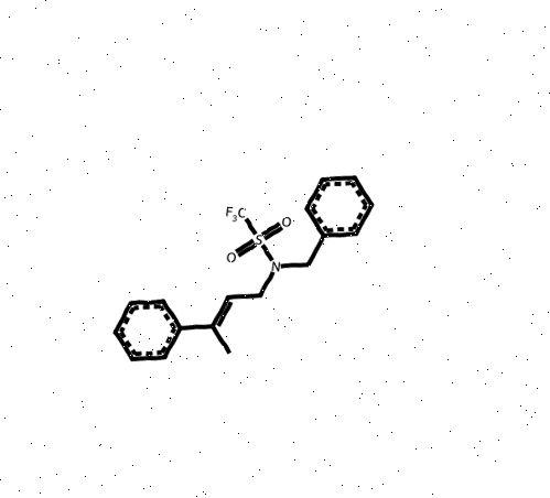 C/C(=C\CN(Cc1ccccc1)S(=O)(=O)C(F)(F)F)c1ccccc1